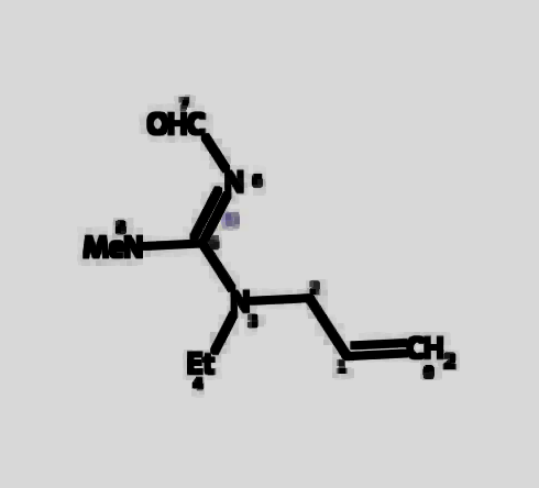 C=CCN(CC)/C(=N/C=O)NC